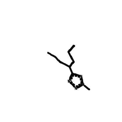 CCCC(CCC)c1nnn(C)n1